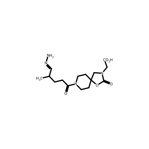 CC(C=NN)CCC(=O)N1CCC2(CC1)CN(CC(=O)O)C(=O)O2